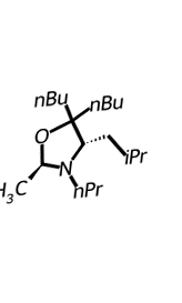 CCCCC1(CCCC)O[C@H](C)N(CCC)[C@H]1CC(C)C